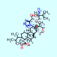 CC(C)[C@@H](C)[C@@]1(C)CC[C@]2(C)[C@H]3CC[C@@H]4[C@@]5(COC[C@@]4(C)[C@@H](OC[C@](C)(N)C(C)C)[C@H](n4nnnc4CO)C5)C3=CC[C@@]2(C)[C@@H]1C(=O)O